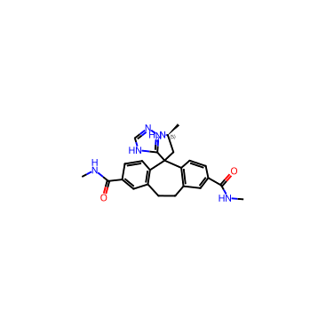 CNC(=O)c1ccc2c(c1)CCc1cc(C(=O)NC)ccc1C2(C[C@H](C)N)c1nnc[nH]1